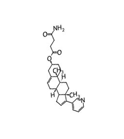 C[C@]12CC[C@H](OC(=O)CCC(N)=O)CC1=CC[C@H]1C3CC=C(c4cccnc4)[C@@]3(C)CC[C@@H]12